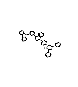 C1=C(c2ccccc2)N[C@@H](c2ccc(-c3ccc(-c4cccc(-n5c6ccccc6c6ccccc65)c4)c4ccccc34)cc2)N=C1c1ccccc1